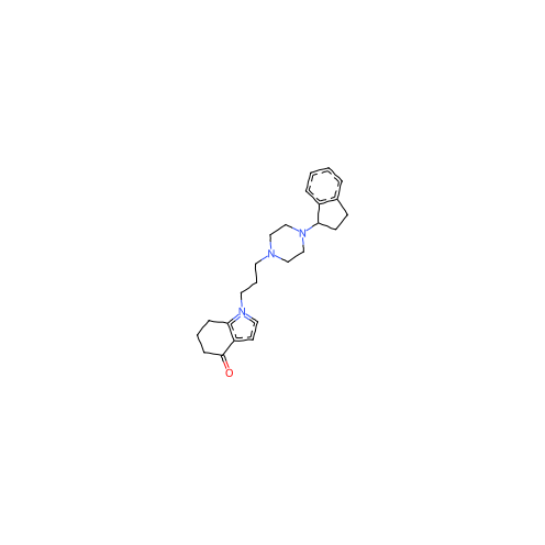 O=C1CCCc2c1ccn2CCCN1CCN(C2CCc3ccccc32)CC1